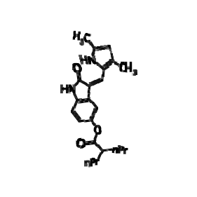 CCCC(CCC)C(=O)Oc1ccc2c(c1)C(=Cc1[nH]c(C)cc1C)C(=O)N2